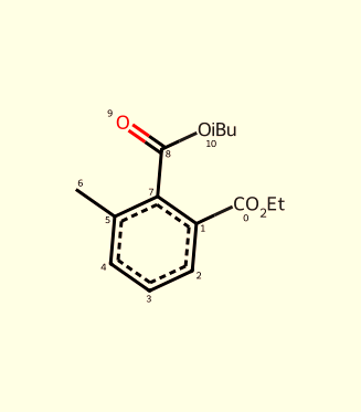 CCOC(=O)c1cccc(C)c1C(=O)OCC(C)C